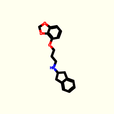 c1ccc2c(c1)CC(NCCCOc1cccc3c1OCO3)C2